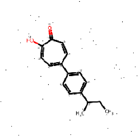 CCC(C)c1ccc(-c2ccc(O)c(=O)cc2)cc1